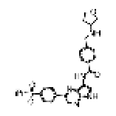 CC(C)S(=O)(=O)c1ccc(-c2cnc3[nH]cc(NC(=O)c4ccc(CN[C@H]5CCOC5)cc4)c3n2)cc1